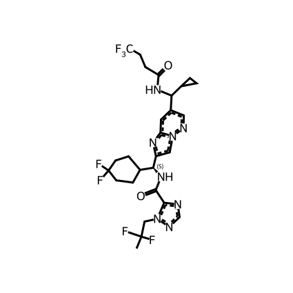 CC(F)(F)Cn1ncnc1C(=O)N[C@H](c1cn2ncc(C(NC(=O)CCC(F)(F)F)C3CC3)cc2n1)C1CCC(F)(F)CC1